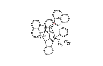 C[Si]1(c2ccccc2)C2=C(CC3=Cc4cccc5cccc3c45)[CH]([Zr+2][CH]3C(CC4=Cc5cccc6cccc4c56)=C1c1ccccc13)c1ccccc12.[Cl-].[Cl-]